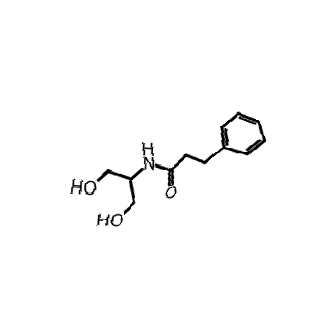 O=C(CCc1ccccc1)NC(CO)CO